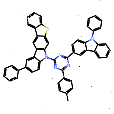 Cc1ccc(-c2nc(-c3ccc4c(c3)c3ccccc3n4-c3ccccc3)nc(-n3c4ccc(-c5ccccc5)cc4c4cc5c(cc43)sc3ccccc35)n2)cc1